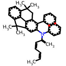 C=C(/C=C\C=C/C)N(c1ccccc1)c1cc2c3c(c1-c1ccccc1)CC(C)(C)c1cccc(c1-3)C2(C)C